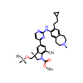 CN1CCc2cc(CCC3CC3)c(Nc3nccc(-c4cc(C#N)c5c(c4)[C@@](C)(CO[Si](C)(C)C(C)(C)C)CN5C(=O)OC(C)(C)C)n3)cc2CC1